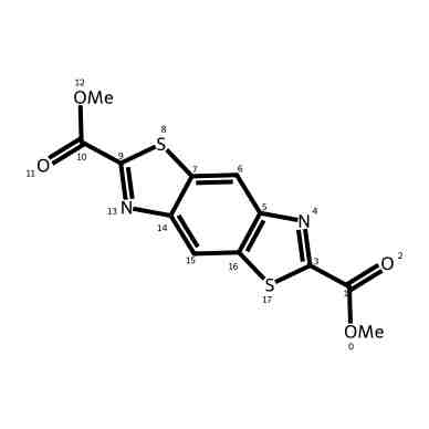 COC(=O)c1nc2cc3sc(C(=O)OC)nc3cc2s1